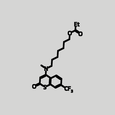 CCC(=O)OCCCCCCCN(C)c1cc(=O)sc2cc(C(F)(F)F)ccc12